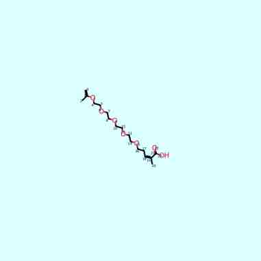 C=C(C)OCCOCCOCCOCCOCCC=C(C)C(=O)O